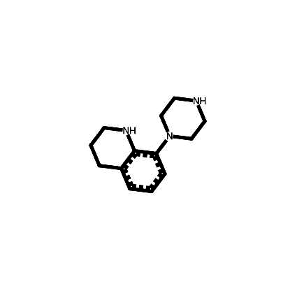 c1cc2c(c(N3CCNCC3)c1)NCCC2